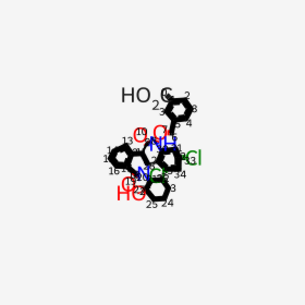 O=C(O)c1cccc(CONC(=O)[C@@H]2c3ccccc3C(=O)N([C@H]3CCCC[C@@H]3O)[C@H]2c2ccc(Cl)cc2Cl)c1